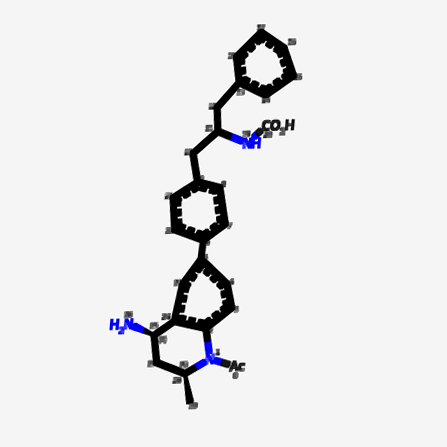 CC(=O)N1c2ccc(-c3ccc(CC(Cc4ccccc4)NC(=O)O)cc3)cc2[C@H](N)C[C@@H]1C